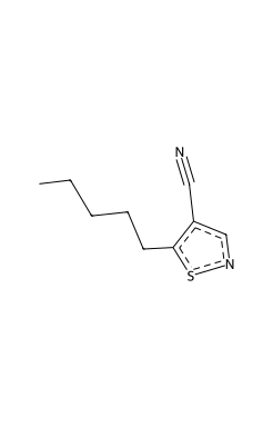 CCCCCc1sncc1C#N